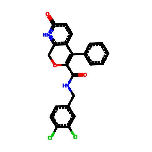 O=C(NCc1ccc(Cl)c(Cl)c1)C1=C(c2ccccc2)c2ccc(=O)[nH]c2CO1